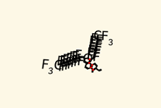 C=Cc1ccc(CC(CC(F)(F)C(F)(F)C(F)(F)C(F)(F)C(F)(F)C(F)(F)C(F)(F)C(F)(F)F)OC(Cc2ccc(C=C)cc2)CC(F)(F)C(F)(F)C(F)(F)C(F)(F)C(F)(F)C(F)(F)C(F)(F)C(F)(F)F)cc1